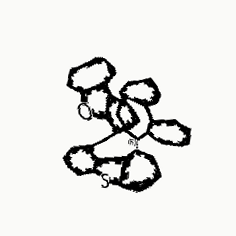 c1ccc2c(c1)CC[C@@H](c1cccc3sc4cccc(-c5cccc6c5oc5ccccc56)c4c13)c1ccccc1-2